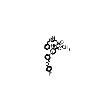 COC(=O)[C@H](Cc1cn(Cc2ccccc2)cn1)NC(=O)C1CCN(c2cccc(COc3ccc(F)cc3)c2)CC1